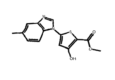 COC(=O)c1sc(-n2cnc3cc(C)ccc32)cc1O